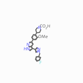 COc1cc(-c2cnc3[nH]cc(-c4cnn(Cc5cccc(F)c5)c4)c3c2)ccc1C1CCN(C(=O)O)CC1